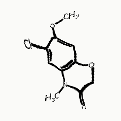 COc1cc2c(cc1Cl)N(C)C(=O)CO2